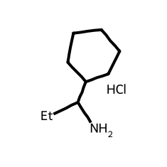 CCC(N)C1CCCCC1.Cl